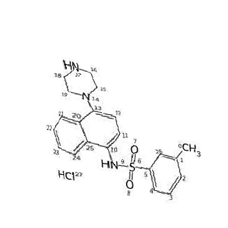 Cc1cccc(S(=O)(=O)Nc2ccc(N3CCNCC3)c3ccccc23)c1.Cl